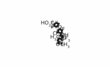 CC(c1cc(F)c(Oc2ccc(C(=O)O)c(F)c2)cc1Cl)C(O)(c1ccc(=O)n(C)c1)C(F)(F)F